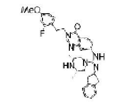 COc1ccc(CCn2cnc3cc(N/C(=N/C4Cc5ccccc5C4)N4C[C@@H](C)N[C@@H](C)C4)ccc3c2=O)c(F)c1